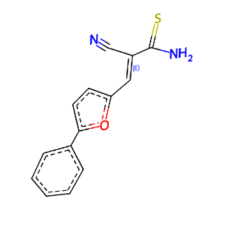 N#C/C(=C\c1ccc(-c2ccccc2)o1)C(N)=S